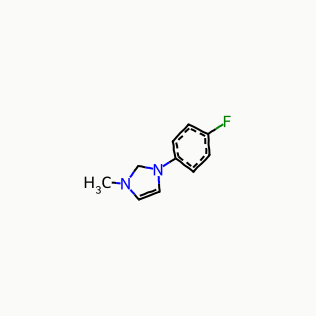 CN1C=CN(c2ccc(F)cc2)C1